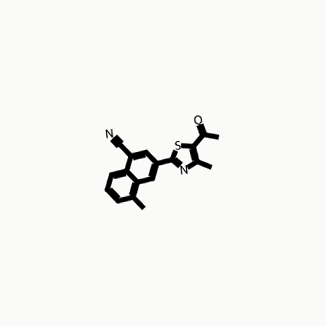 CC(=O)c1sc(-c2cc(C#N)c3cccc(C)c3c2)nc1C